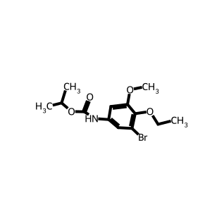 CCOc1c(Br)cc(NC(=O)OC(C)C)cc1OC